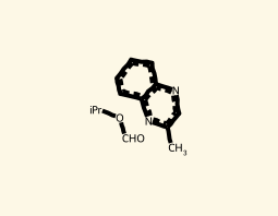 CC(C)OC=O.Cc1cnc2ccccc2n1